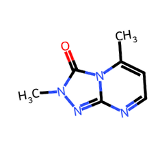 Cc1ccnc2nn(C)c(=O)n12